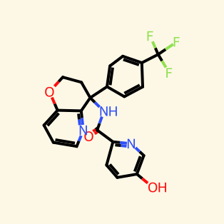 O=C(NC1(c2ccc(C(F)(F)F)cc2)CCOc2cccnc21)c1ccc(O)cn1